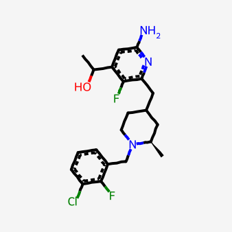 CC(O)c1cc(N)nc(CC2CCN(Cc3cccc(Cl)c3F)[C@H](C)C2)c1F